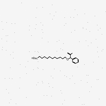 C=C(C)C(OCCCCCCCCCCCCCCCCCCCCC)c1ccccc1